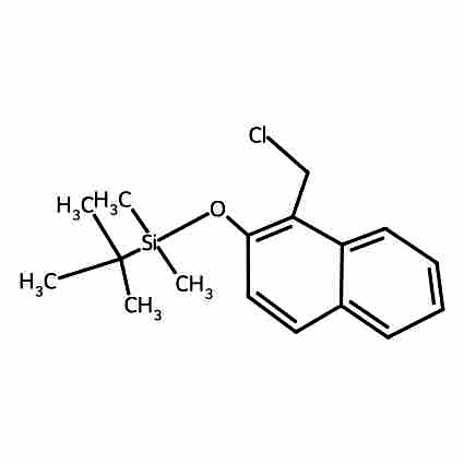 CC(C)(C)[Si](C)(C)Oc1ccc2ccccc2c1CCl